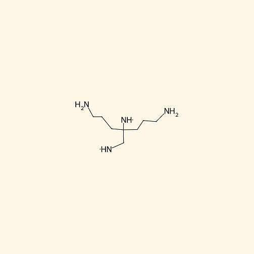 [NH]CC([NH])(CCCN)CCCN